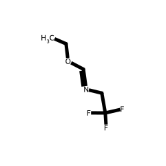 CCOC=NCC(F)(F)F